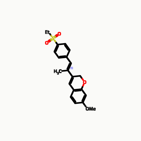 CCS(=O)(=O)c1ccc(/C=C(\C)C2=Cc3ccc(OC)cc3OC2)cc1